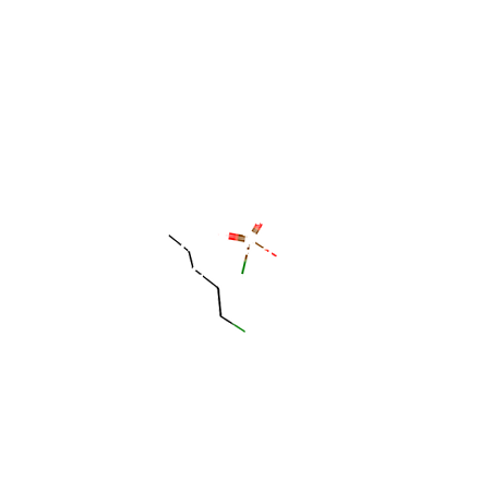 CCCCCCl.O=S(=O)(O)Cl